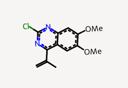 C=C(C)c1nc(Cl)nc2cc(OC)c(OC)cc12